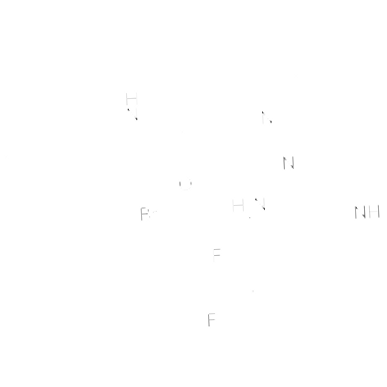 N[C@@H]1[C@H](Nc2ccc3ccc(C(=O)Nc4ccccc4Br)n3n2)CCCC1(F)F